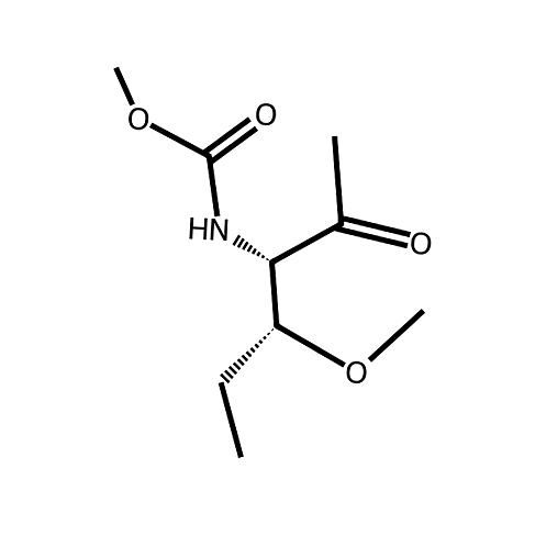 CC[C@@H](OC)[C@H](NC(=O)OC)C(C)=O